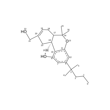 CCCC(C)(C)c1cc(O)c2c(c1)OC(C)(C)C1CC=C(CO)C[C@H]21